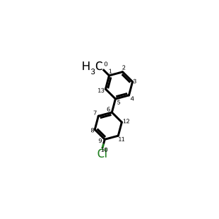 Cc1cccc(C2=CC=C(Cl)CC2)c1